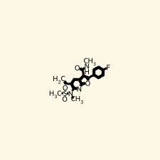 C=Cc1cc2c(C(=O)NC)c(-c3ccc(F)cc3)oc2nc1N(C)S(C)(=O)=O